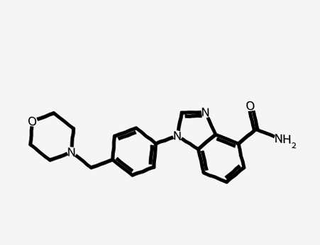 NC(=O)c1cccc2c1ncn2-c1ccc(CN2CCOCC2)cc1